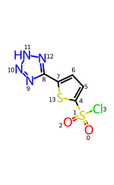 O=S(=O)(Cl)c1ccc(-c2nn[nH]n2)s1